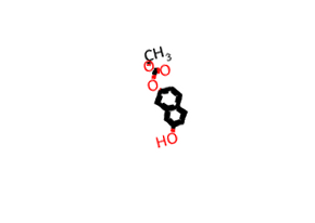 COC(=O)Oc1ccc2ccc(O)cc2c1